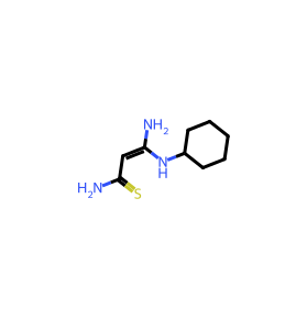 NC(=S)/C=C(/N)NC1CCCCC1